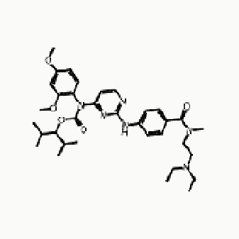 CCN(CC)CCN(C)C(=O)c1ccc(Nc2nccc(N(C(=O)OC(C(C)C)C(C)C)c3ccc(OC)cc3OC)n2)cc1